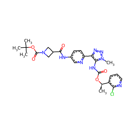 C[C@@H](OC(=O)Nc1c(-c2ccc(NC(=O)C3CN(C(=O)OC(C)(C)C)C3)cn2)nnn1C)c1cccnc1Cl